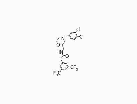 O=C(Cc1cc(C(F)(F)F)cc(C(F)(F)F)c1)NCC1CN(Cc2ccc(Cl)c(Cl)c2)CCO1